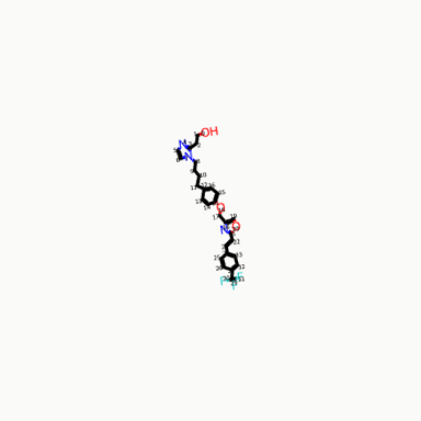 OCCc1nccn1CCCCc1ccc(OCc2coc(C=Cc3ccc(C(F)(F)F)cc3)n2)cc1